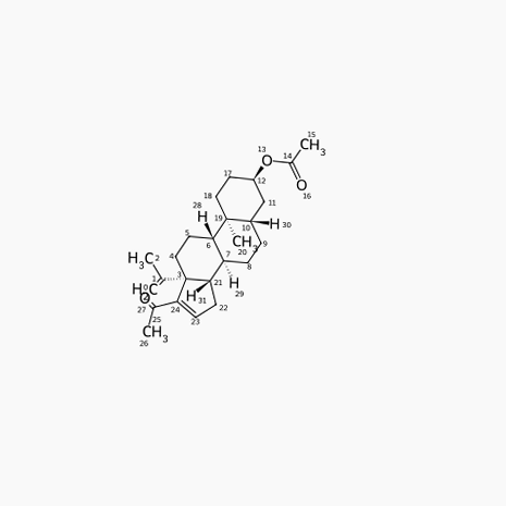 C=C(C)[C@]12CC[C@H]3[C@@H](CC[C@H]4C[C@H](OC(C)=O)CC[C@@]43C)[C@@H]1CC=C2C(C)=O